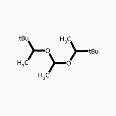 CC(OC(C)C(C)(C)C)OC(C)C(C)(C)C